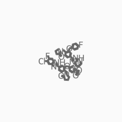 CS(=O)(=O)c1ccc(Oc2cc(-c3nc4cc(Cl)c(F)cc4[nH]3)ccc2CN2CCCC2=O)cn1.O=C1CCCN1Cc1ccc(-c2nc3cccnc3[nH]2)cc1Oc1ccc(F)cc1